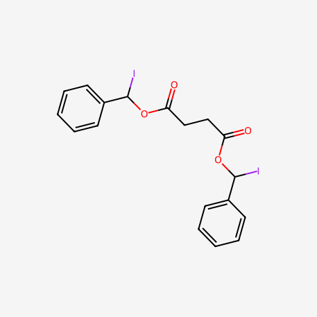 O=C(CCC(=O)OC(I)c1ccccc1)OC(I)c1ccccc1